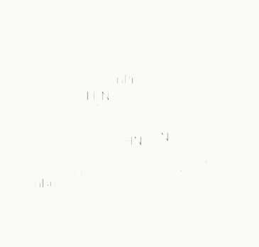 CCCCOCc1cc(=O)n(-c2ccccc2)[nH]1.CCCN